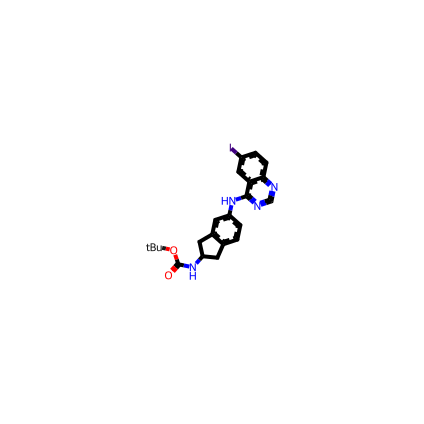 CC(C)(C)OC(=O)NC1Cc2ccc(Nc3ncnc4ccc(I)cc34)cc2C1